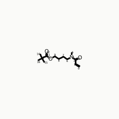 C=CC(=O)N(C)CCCCOC(=O)C(C)(C)C